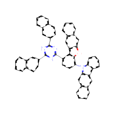 c1ccc2cc(-c3nc(-c4ccc5ccccc5c4)nc(-c4ccc(-n5c6ccccc6c6cc7ccccc7cc65)c5oc6cc7ccccc7cc6c45)n3)ccc2c1